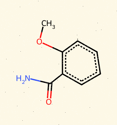 COc1[c]cccc1C(N)=O